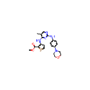 COC(=O)c1sccc1Nc1nc(Nc2ccc(N3CCOCC3)cc2)ncc1C